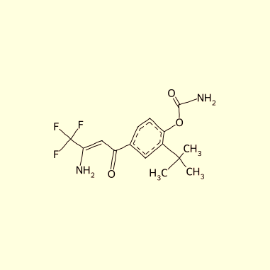 CC(C)(C)c1cc(C(=O)C=C(N)C(F)(F)F)ccc1OC(N)=O